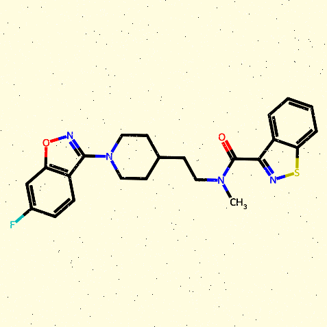 CN(CCC1CCN(c2noc3cc(F)ccc23)CC1)C(=O)c1nsc2ccccc12